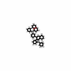 c1ccc(-c2ccccc2N(c2ccccc2)c2cccc(-c3cc4ccccc4c4c3c3ccccc3n4-c3ccccc3)c2)cc1